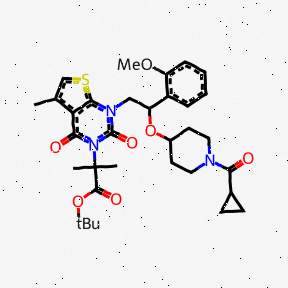 COc1ccccc1C(Cn1c(=O)n(C(C)(C)C(=O)OC(C)(C)C)c(=O)c2c(C)csc21)OC1CCN(C(=O)C2CC2)CC1